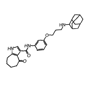 O=C(Nc1cccc(OCCCNC2C3CC4CC(C3)CC2C4)c1)c1c[nH]c2c1C(=O)CCCC2